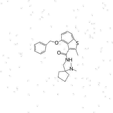 Cc1sc2cccc(OCc3ccccc3)c2c1C(=O)NCC1(N(C)C)CCCC1